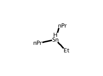 CC[CH2][SnH]([CH2]C)[CH2]CC